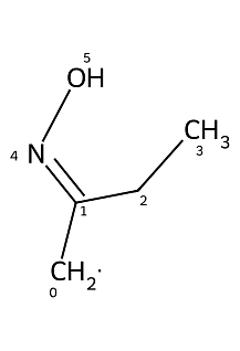 [CH2]C(CC)=NO